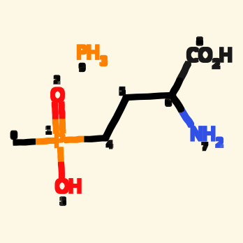 CP(=O)(O)CCC(N)C(=O)O.P